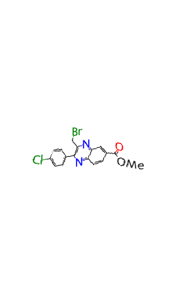 COC(=O)c1ccc2nc(-c3ccc(Cl)cc3)c(CBr)nc2c1